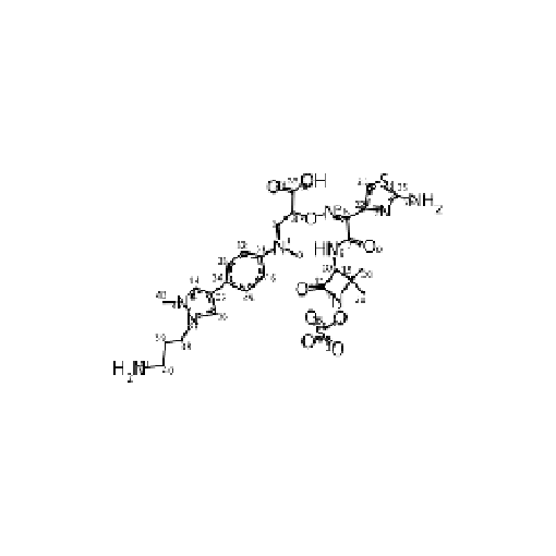 CN(CC(O/N=C(\C(=O)N[C@@H]1C(=O)N(OS(=O)(=O)[O-])C1(C)C)c1csc(N)n1)C(=O)O)c1ccc(-c2cn(CCCN)[n+](C)c2)cc1